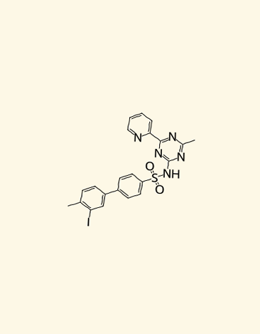 Cc1nc(NS(=O)(=O)c2ccc(-c3ccc(C)c(I)c3)cc2)nc(-c2ccccn2)n1